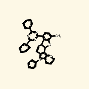 Cc1ccc(-c2nc(-c3ccccc3)nc(-c3ccccc3)n2)c2c1OC1c3c(n(-c4ccccc4)c4ccccc34)C=CC21